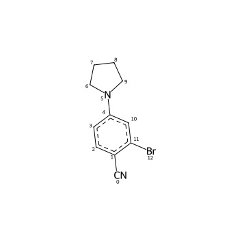 N#Cc1ccc(N2CCCC2)cc1Br